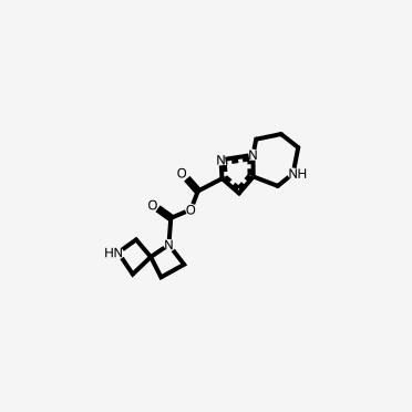 O=C(OC(=O)N1CCC12CNC2)c1cc2n(n1)CCCNC2